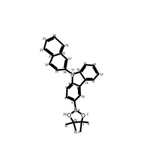 CC1(C)OB(c2ccc3c(c2)c2ccccc2n3-c2ccc3ccccc3c2)OC1(C)C